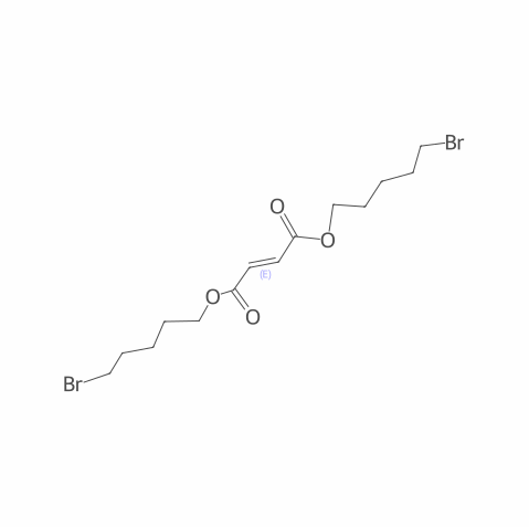 O=C(/C=C/C(=O)OCCCCCBr)OCCCCCBr